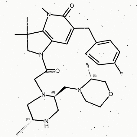 C[C@@H]1CN(CC(=O)N2CC(C)(C)c3c2cc(Cc2ccc(F)cc2)c(=O)n3C)[C@@H](CN2CCOC[C@H]2C)CN1